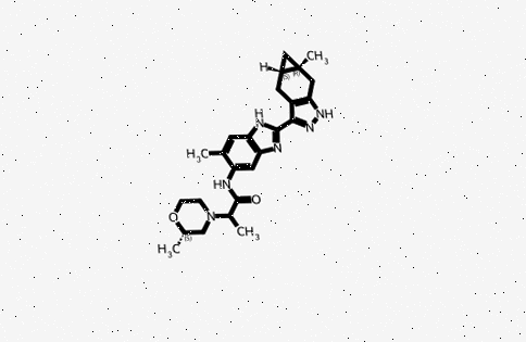 Cc1cc2[nH]c(-c3n[nH]c4c3C[C@@H]3C[C@]3(C)C4)nc2cc1NC(=O)C(C)N1CCO[C@@H](C)C1